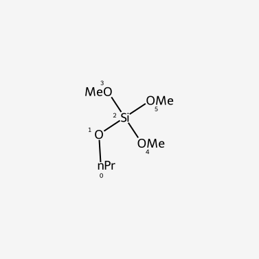 [CH2]CCO[Si](OC)(OC)OC